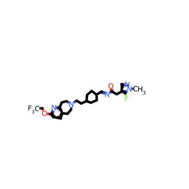 Cn1ncc(CC(=O)/N=C/C2CCC(CCN3CCc4ccc(OCC(F)(F)F)nc4CC3)CC2)c1F